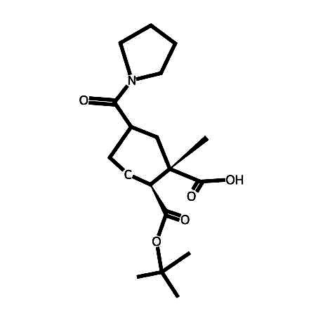 CC(C)(C)OC(=O)[C@H]1CCC(C(=O)N2CCCC2)C[C@]1(C)C(=O)O